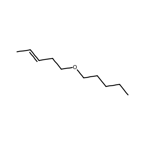 CC=CCCOCCCCC